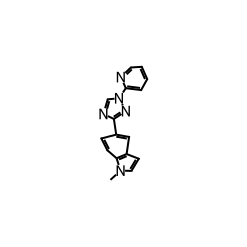 Cn1ccc2cc(-c3ncn(-c4ccccn4)n3)ccc21